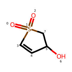 O=S1(=O)C=CC(O)C1